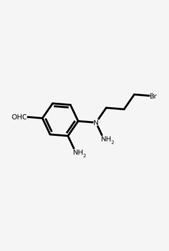 Nc1cc(C=O)ccc1N(N)CCCBr